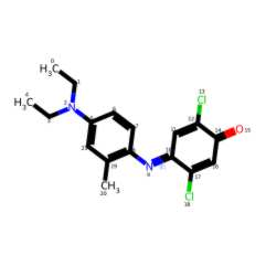 CCN(CC)c1ccc(/N=C2\C=C(Cl)C(=O)C=C2Cl)c(C)c1